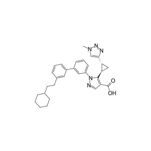 Cn1cc([C@@H]2C[C@H]2c2c(C(=O)O)cnn2-c2cccc(-c3cccc(CCC4CCCCC4)c3)c2)nn1